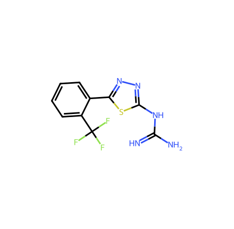 N=C(N)Nc1nnc(-c2ccccc2C(F)(F)F)s1